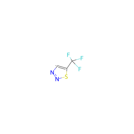 FC(F)(F)c1[c]nns1